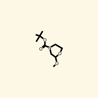 COC1CN(C(=O)OC(C)(C)C)CCO1